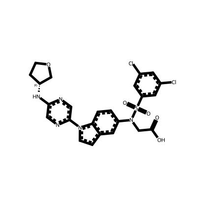 O=C(O)CN(c1ccc2c(ccn2-c2cnc(N[C@@H]3CCOC3)cn2)c1)S(=O)(=O)c1cc(Cl)cc(Cl)c1